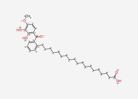 COc1ccc(C(=O)c2ccccc2CCCCCCCCCCCCCCCCCCC(=O)O)c(O)c1O